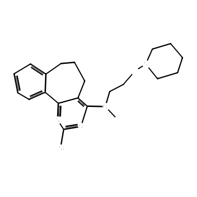 CN(CCCN1CCCCC1)c1nc(N)nc2c1CCCc1ccccc1-2